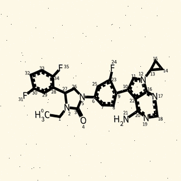 CCN1C(=O)N(c2ccc(-c3cn(C4CC4)c4ncnc(N)c34)c(F)c2)CC1c1cc(F)ccc1F